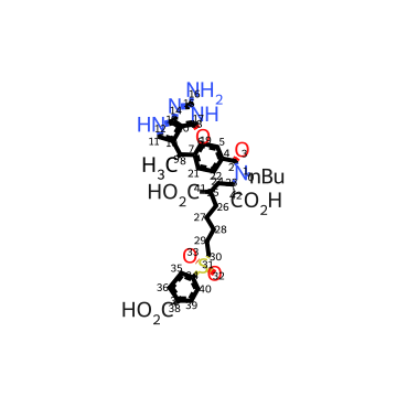 CCCCN(C(=O)c1ccc(C(C)c2c[nH]c3nc(N)[nH]c(=O)c23)cc1)[C@@H](CC(CCCCCS(=O)(=O)c1ccc(C(=O)O)cc1)C(=O)O)C(=O)O